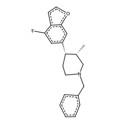 C[C@@H]1CN(Cc2ccccc2)CC[C@@H]1c1cc(F)c2ccoc2c1